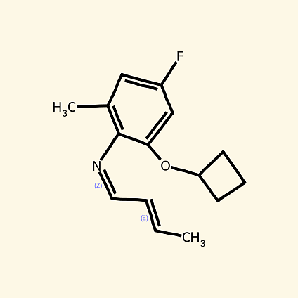 C/C=C/C=N\c1c(C)cc(F)cc1OC1CCC1